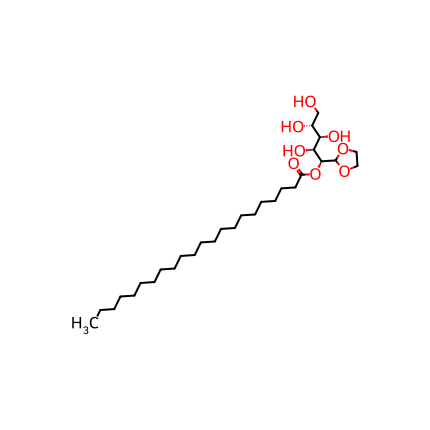 CCCCCCCCCCCCCCCCCCCCCC(=O)O[C@H](C1OCCO1)[C@@H](O)[C@H](O)[C@H](O)CO